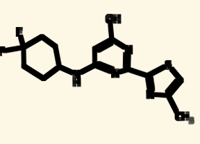 Cc1csc(-c2nc(O)cc(NC3CCC(F)(F)CC3)n2)n1